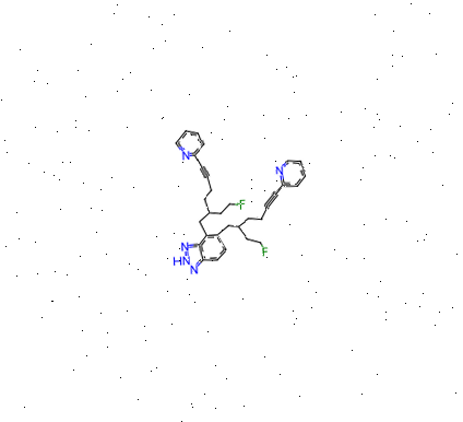 FCCC(CCC#Cc1ccccn1)Cc1ccc2n[nH]nc2c1CC(CCF)CCC#Cc1ccccn1